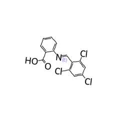 O=C(O)c1ccccc1/N=C/c1c(Cl)cc(Cl)cc1Cl